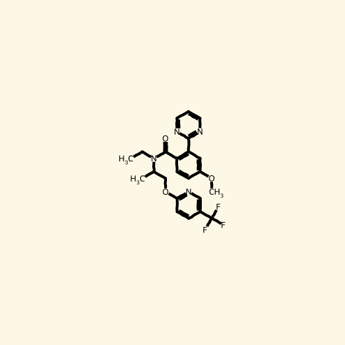 CCN(C(=O)c1ccc(OC)cc1-c1ncccn1)C(C)COc1ccc(C(F)(F)F)cn1